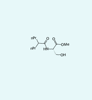 CCCC(CCC)C(=O)N[C@@H](CO)C(=O)OC